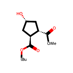 COC(=O)[C@H]1C[C@@H](O)C[C@@H]1C(=O)OC(C)(C)C